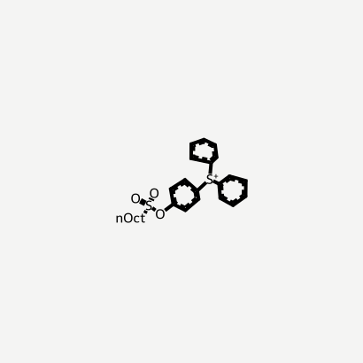 CCCCCCCCS(=O)(=O)Oc1ccc([S+](c2ccccc2)c2ccccc2)cc1